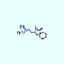 C=C1N(C)C(CCN(CC)CCC)CC12CCCCC2